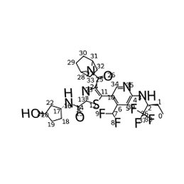 CC[C@H](Nc1cc(C(F)F)c(-c2sc(C(=O)N[C@@H]3CC[C@@H](O)C3)nc2C(=O)N2C3CCC2CC3)cn1)C(F)(F)F